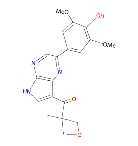 COc1cc(-c2cnc3[nH]cc(C(=O)C4(C)COC4)c3n2)cc(OC)c1O